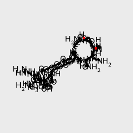 CCCCC(=O)NCCOCCOCCOCC(=O)NCC(=O)N[C@@H](CCCNC(=N)N)C(=O)N[C@@H](CCCNC(=N)N)C(=O)N[C@@H](C)C(=O)NC(C(=O)N[C@@H](CO)C(=O)NCC(=O)NCCOCCOCCOCCOCC(=O)N[C@H]1Cc2cn(nn2)CCCC[C@@H](C(N)=O)NC(=O)[C@@H]2CCCN2C(=O)CNC(=O)[C@H](Cc2c[nH]cn2)NC(=O)[C@H](CCCCN)NC(=O)[C@H](CCC(N)=O)NC1=O)C(C)O